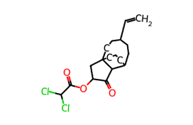 C=CC1CCC2CCCC3(CC1)CC(OC(=O)C(Cl)Cl)C(=O)C23